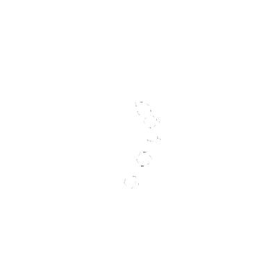 Cc1cnc(-c2ccc(S(=O)(=O)Nc3nc4cc(Cl)ccc4s3)cc2)o1